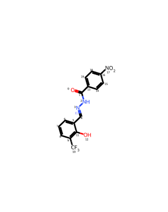 O=C(N/N=C/c1cccc(C(F)(F)F)c1O)c1ccc([N+](=O)[O-])cc1